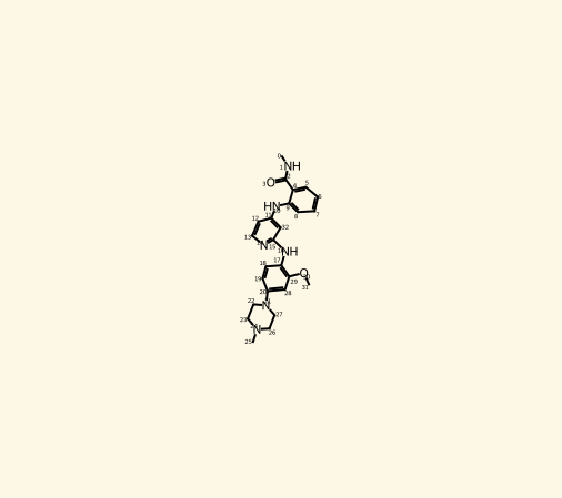 CNC(=O)c1ccccc1Nc1ccnc(Nc2ccc(N3CCN(C)CC3)cc2OC)c1